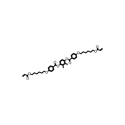 C=CC(=O)OCCCCCCOc1ccc(C(=O)Oc2ccc(OC(=O)c3ccc(OCCCCCCOC(=O)C=C)cc3)c(C)c2C)cc1